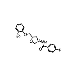 CC(C)c1ccccc1OCC1CN(NC(=O)c2ccc(F)cc2)CO1